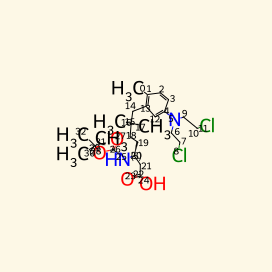 Cc1ccc(N(CCCl)CCCl)cc1CC(C)(C)CC[C@@H](CC(=O)O)NC(=O)OC(C)(C)C